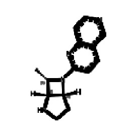 C[C@H]1[C@H]2NCC[C@H]2N1c1ccc2cnccc2n1